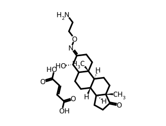 C[C@]12CC/C(=N\OCCN)[C@@H](O)C1CC[C@@H]1[C@@H]2CC[C@]2(C)C(=O)CC[C@@H]12.O=C(O)/C=C/C(=O)O